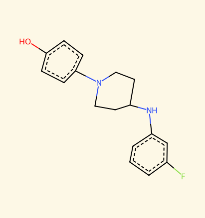 Oc1ccc(N2CCC(Nc3cccc(F)c3)CC2)cc1